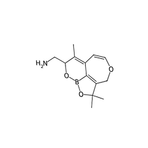 CC1=C2C=COCC3=C2B(OC1CN)OC3(C)C